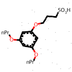 CCCOc1cc(OCCC)cc(OCCCS(=O)(=O)O)c1